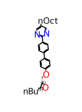 CCCCCCCCc1cnc(-c2ccc(-c3ccc(OC[C@@H]4O[C@H]4CCCC)cc3)cc2)nc1